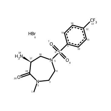 Br.CN1CCN(S(=O)(=O)c2ccc(C(F)(F)F)cc2)C[C@H](N)C1=O